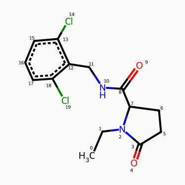 CCN1C(=O)CCC1C(=O)NCc1c(Cl)cccc1Cl